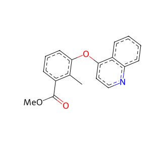 COC(=O)c1cccc(Oc2ccnc3ccccc23)c1C